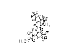 CCOC(=O)N1c2cc3c(cc2C(N(Cc2cc(C(F)(F)F)cc(C(F)(F)F)c2)C(=O)OC)CC1C)C(=O)OC3